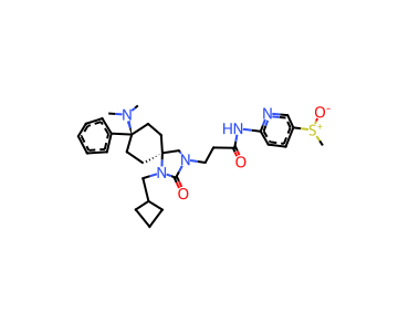 CN(C)[C@]1(c2ccccc2)CC[C@]2(CC1)CN(CCC(=O)Nc1ccc([S+](C)[O-])cn1)C(=O)N2CC1CCC1